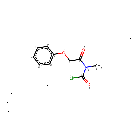 CN(C(=O)Cl)C(=O)COc1ccccc1